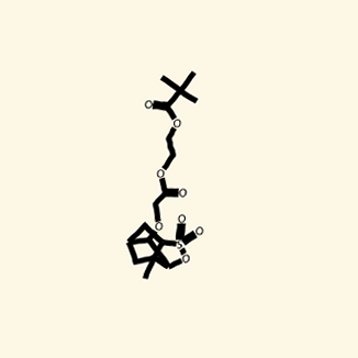 CC(C)(C)C(=O)OCCOC(=O)COC1C2CC3C(C)(C2)C1OS3(=O)=O